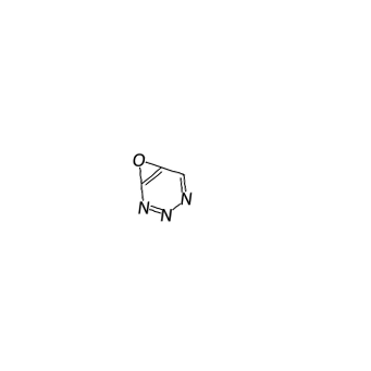 c1nnnc2c1O2